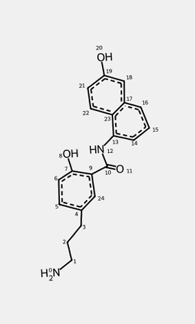 NCCCc1ccc(O)c(C(=O)Nc2cccc3cc(O)ccc23)c1